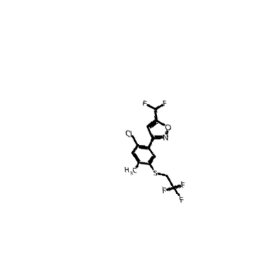 Cc1cc(Cl)c(-c2cc(C(F)F)on2)cc1SCC(F)(F)F